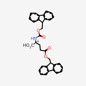 O=C(CC[C@H](NC(=O)OCC1c2ccccc2-c2ccccc21)C(=O)O)OCC1c2ccccc2-c2ccccc21